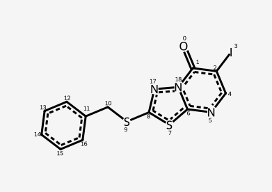 O=c1c(I)cnc2sc(SCc3ccccc3)nn12